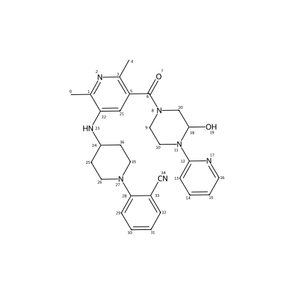 Cc1nc(C)c(C(=O)N2CCN(c3ccccn3)C(O)C2)cc1NC1CCN(c2ccccc2C#N)CC1